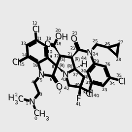 CN(C)CCN1C(=O)[C@]2(c3cc(Cl)cc(Cl)c31)[C@@H](C(=O)O)[C@@H](C(=O)N(CC1CC1)c1cc(Cl)cc(Cl)c1)[C@H]1CC(F)(F)CN12